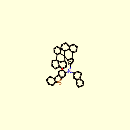 c1ccc2c(c1)-c1cccc3cccc(c13)C21c2cc(N(c3ccc4ccccc4c3)c3ccc4c(c3)sc3ccccc34)ccc2-c2cccc3cccc1c23